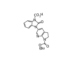 CC(C)(C)OC(=O)N1CCc2cc(-n3c(=O)n(C(=O)O)c4ccccc43)cnc21